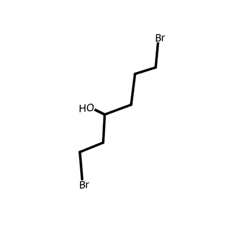 OC(CCBr)CCCBr